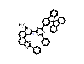 C=Cc1ccc2ccc3nc(-c4ccccc4)oc3c2c1/C=C(\C)c1nc(-c2ccccc2)nc(-c2ccc3c(c2)C2(c4ccccc4-c4ccccc42)c2ccccc2-3)n1